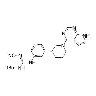 CC(C)(C)NC(=NC#N)Nc1cccc(C2CCCN(c3ncnc4[nH]ccc34)C2)c1